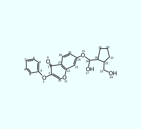 O=c1c(Oc2ccccc2)coc2cc(OC(O)C3CCCC3CO)ccc12